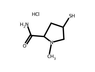 CN1CC(S)CC1C(N)=O.Cl